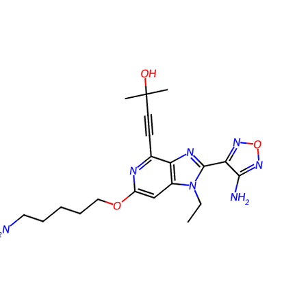 CCn1c(-c2nonc2N)nc2c(C#CC(C)(C)O)nc(OCCCCCN)cc21